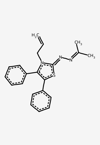 C=CCn1c(-c2ccccc2)c(-c2ccccc2)s/c1=N\N=C(C)C